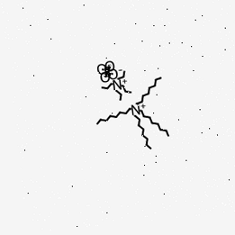 CCCCCCCC[N+](CCCCCCCC)(CCCCCCCC)CCCCCCCC.CCC[N+](CCC)(CCC)CCC.O=S(=O)([O-])[O-]